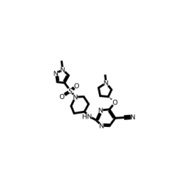 CN1CC[C@@H](Oc2nc(NC3CCN(S(=O)(=O)c4cnn(C)c4)CC3)ncc2C#N)C1